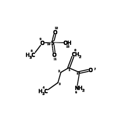 C=C(CCC)C(N)=O.COS(=O)(=O)O